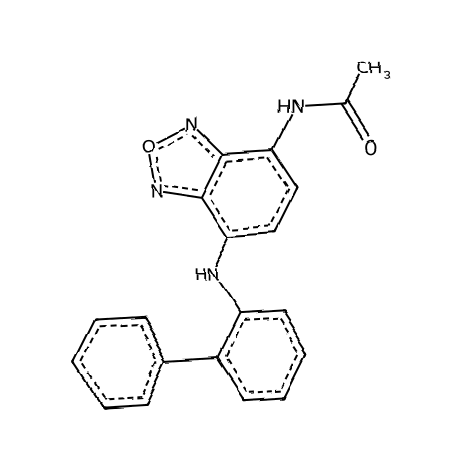 CC(=O)Nc1ccc(Nc2ccccc2-c2ccccc2)c2nonc12